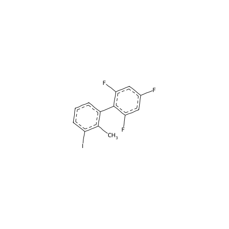 Cc1c(I)cccc1-c1c(F)cc(F)cc1F